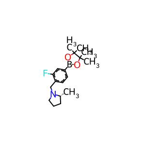 C[C@@H]1CCCN1Cc1ccc(B2OC(C)(C)C(C)(C)O2)cc1F